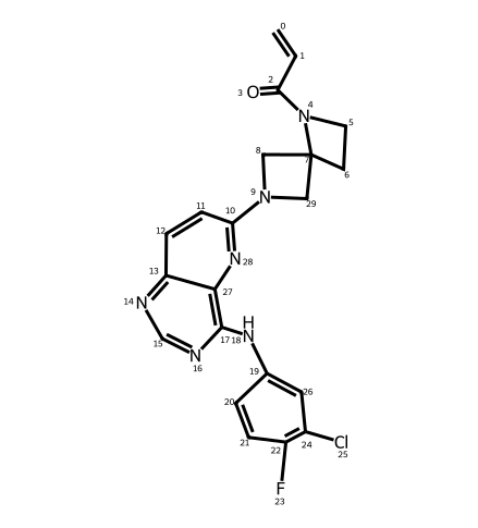 C=CC(=O)N1CCC12CN(c1ccc3ncnc(Nc4ccc(F)c(Cl)c4)c3n1)C2